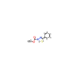 CC(C)(C)OC(=O)N1[CH]SC(c2ccccc2)=N1